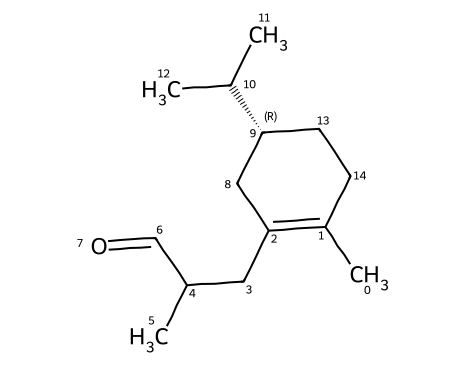 CC1=C(CC(C)C=O)C[C@H](C(C)C)CC1